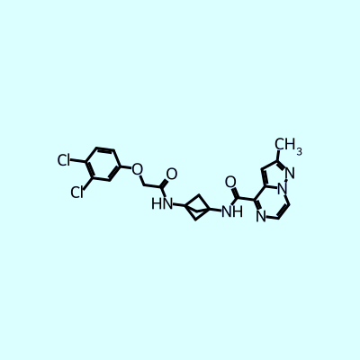 Cc1cc2c(C(=O)NC34CC(NC(=O)COc5ccc(Cl)c(Cl)c5)(C3)C4)nccn2n1